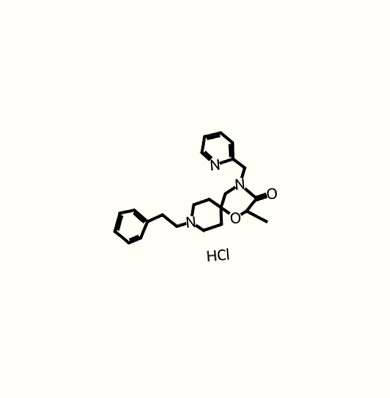 CC1OC2(CCN(CCc3ccccc3)CC2)CN(Cc2ccccn2)C1=O.Cl